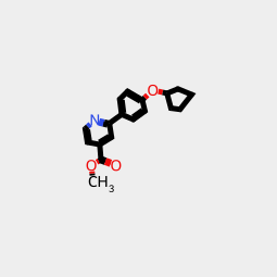 COC(=O)c1ccnc(-c2ccc(OC3CCCC3)cc2)c1